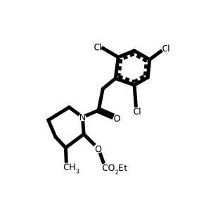 CCOC(=O)OC1C(C)CCCN1C(=O)Cc1c(Cl)cc(Cl)cc1Cl